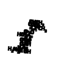 COc1cc(OCC2=C(C(=O)O)N3C(=O)C(NC(=O)C(=NO)c4csc(N)n4)[C@@H]3SC2)cc(OC)c1OC